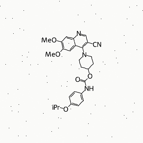 COc1cc2ncc(C#N)c(N3CCC(OC(=O)Nc4ccc(OC(C)C)cc4)CC3)c2cc1OC